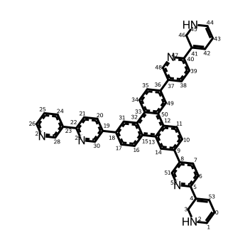 C1=CNCC(c2ccc(-c3ccc4c(c3)c3ccc(-c5ccc(-c6cccnc6)nc5)cc3c3ccc(-c5ccc(C6=CC=CNC6)nc5)cc43)cn2)=C1